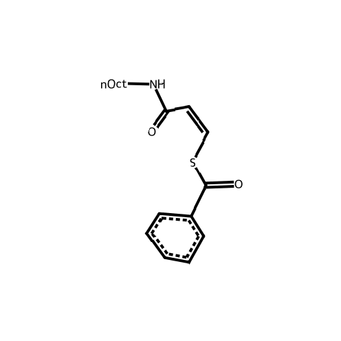 CCCCCCCCNC(=O)/C=C\SC(=O)c1ccccc1